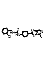 Cc1ncc2oc(-c3ccc(NC(=O)NCc4ccccc4Cl)cc3)nn12